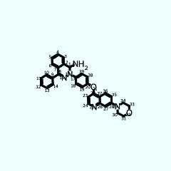 NC1c2ccccc2C(c2ccccc2)=NN1c1ccc(Oc2ccnc3cc(N4CCOCC4)ccc23)cc1